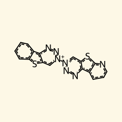 c1ccc2c(c1)sc1c[n+](-[n+]3cc4sc5ncccc5c4nn3)nnc12